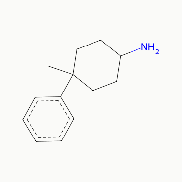 CC1(c2ccccc2)CCC(N)CC1